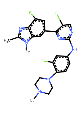 CCN1CCN(c2ccc(Nc3ncc(F)c(-c4cc(F)c5nc(C)n(C(C)C)c5c4)n3)cc2F)CC1